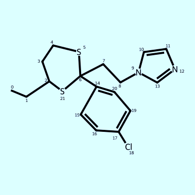 CCC1CCSC(CCn2ccnc2)(c2ccc(Cl)cc2)S1